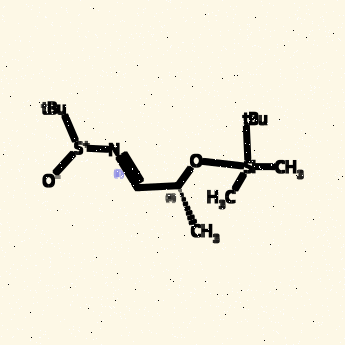 C[C@H](/C=N/[S+]([O-])C(C)(C)C)O[Si](C)(C)C(C)(C)C